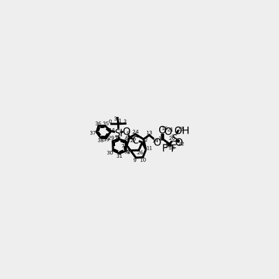 CC(C)(C)[Si](OC12CC3CCC(C(COC(=O)C(F)(F)S(=O)(=O)O)C1)C(C3)C2)(c1ccccc1)c1ccccc1